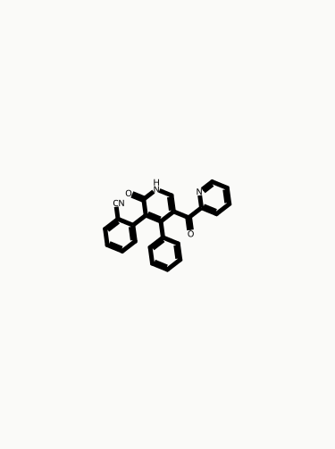 N#Cc1ccccc1-c1c(-c2ccccc2)c(C(=O)c2ccccn2)c[nH]c1=O